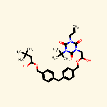 C=CCn1c(=O)n(CC(O)OCc2ccc(Cc3ccc(COC(O)CC(C)(C)C)cc3)cc2)c(=O)n(C(C)(C)C)c1=O